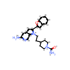 NC(=O)N1CCC(CCn2c(-c3cc4ccccc4o3)cc3cc(N)ncc32)CC1